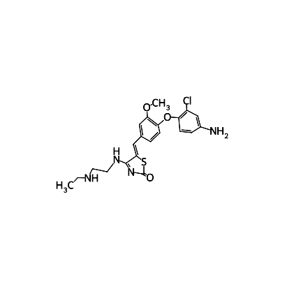 CCNCCNC1=NC(=O)S/C1=C\c1ccc(Oc2ccc(N)cc2Cl)c(OC)c1